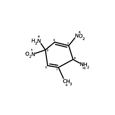 CC1=CC(N)([N+](=O)[O-])C=C([N+](=O)[O-])C1N